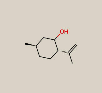 C=C(C)[C@@H]1CC[C@@H](C)CC1O